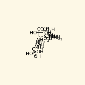 N.N.N.N.N.N.N.N.O=C(O)CC(O)(CC(=O)O)C(=O)O.O=P(O)(O)O.O=S(=O)(O)O